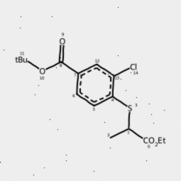 CCOC(=O)C(C)Sc1ccc(C(=O)OC(C)(C)C)cc1Cl